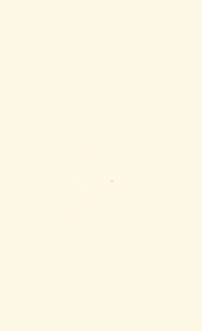 C=C(C)C([O])=O.CCP(=O)(O)O